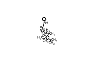 CC(C)c1cc(C(C)C)c(C(=O)Nc2nnc(NCCNc3ccccc3)s2)c(C(C)C)c1